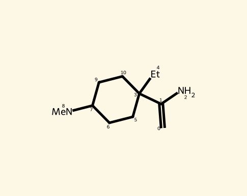 C=C(N)C1(CC)CCC(NC)CC1